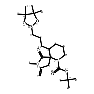 C=CCC1(C(=O)OC)C(CCCB2OC(C)(C)C(C)(C)O2)CCCN1C(=O)OC(C)(C)C